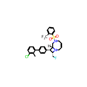 Cc1c(Cl)cccc1-c1ccc([C@@H]2[C@@H](CF)N3C/C=C\CN(S(=O)(=O)c4ccccc4C(F)(F)F)C[C@@H]23)cc1